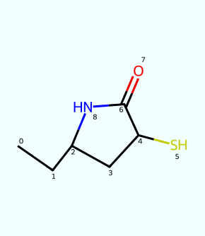 CCC1CC(S)C(=O)N1